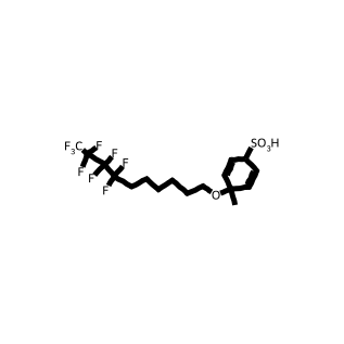 CC1(OCCCCCCC(F)(F)C(F)(F)C(F)(F)C(F)(F)F)C=CC(S(=O)(=O)O)C=C1